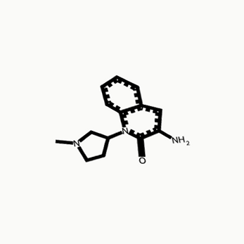 CN1CCC(n2c(=O)c(N)cc3ccccc32)C1